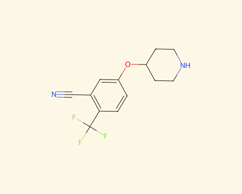 N#Cc1cc(OC2CCNCC2)ccc1C(F)(F)F